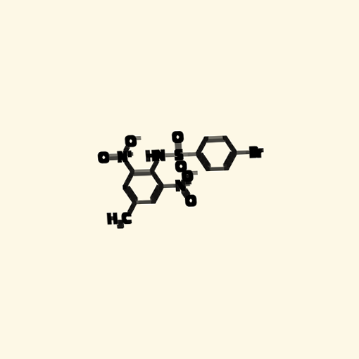 Cc1cc([N+](=O)[O-])c(NS(=O)(=O)c2ccc(Br)cc2)c([N+](=O)[O-])c1